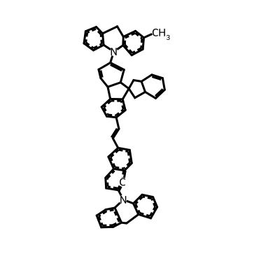 Cc1ccc2c(c1)Cc1ccccc1N2C1=CC2C(C=C1)c1ccc(/C=C/c3ccc4cc(N5c6ccccc6Cc6ccccc65)ccc4c3)cc1C21CC2C=CC=CC2C1